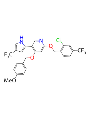 COc1ccc(COc2cc(OCc3ccc(C(F)(F)F)cc3Cl)ncc2-c2cc(C(F)(F)F)c[nH]2)cc1